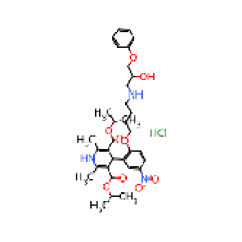 CC1=C(C(=O)OC(C)C)C(c2cc([N+](=O)[O-])ccc2OCCCCNCC(O)COc2ccccc2)C(C(=O)OC(C)C)=C(C)N1.Cl